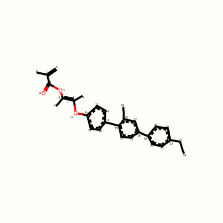 C=C(C)C(=O)O/C(C)=C(\C)Oc1ccc(-c2ccc(-c3ccc(CC)cc3)cc2C)cc1